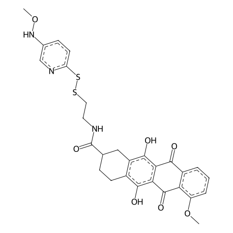 CONc1ccc(SSCCNC(=O)C2CCc3c(O)c4c(c(O)c3C2)C(=O)c2cccc(OC)c2C4=O)nc1